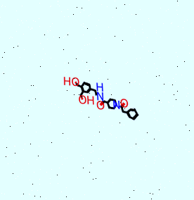 O=C(NCCc1ccc(CO)c(CO)c1)C1CCN(C(=O)Cc2ccccc2)CC1